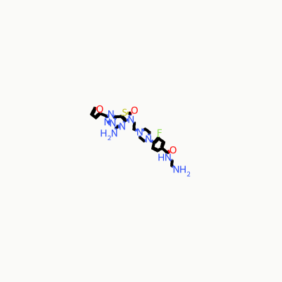 NCCNC(=O)c1ccc(N2CCN(CCn3c(=O)sc4c3nc(N)n3nc(-c5ccco5)nc43)CC2)c(F)c1